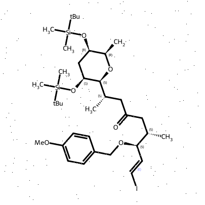 [CH2][C@H]1O[C@@H]([C@@H](C)CC(=O)C[C@H](C)[C@@H](/C=C/I)OCc2ccc(OC)cc2)[C@@H](O[Si](C)(C)C(C)(C)C)C[C@H]1O[Si](C)(C)C(C)(C)C